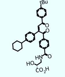 CC(C)(C)c1ccc(C(=O)/C=C(\C(=O)c2ccc(C(=O)NC[C@@H](O)C(=O)O)cc2)c2ccc(C3CCCCC3)cc2)cc1